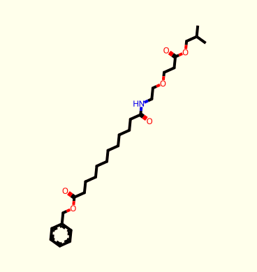 CC(C)COC(=O)CCOCCNC(=O)CCCCCCCCCCC(=O)OCc1ccccc1